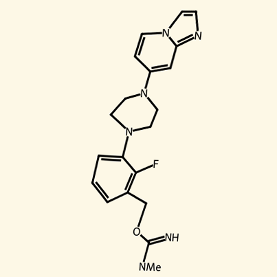 CNC(=N)OCc1cccc(N2CCN(c3ccn4ccnc4c3)CC2)c1F